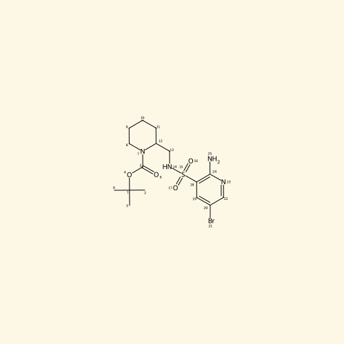 CC(C)(C)OC(=O)N1CCCCC1CNS(=O)(=O)c1cc(Br)cnc1N